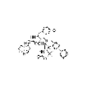 COC(=O)N[C@H](C(=O)NN(Cc1ccc(-c2cncnc2)cc1)C[C@H](O)[C@H](Cc1ccc(OC)cc1)NC(=O)O[C@H]1CO[C@H]2OCC[C@H]21)C(C)(C)C